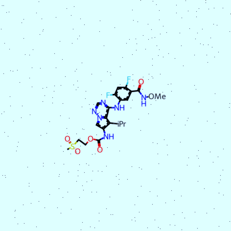 CONC(=O)c1cc(Nc2ncnn3cc(NC(=O)OCCS(C)(=O)=O)c(C(C)C)c23)c(F)cc1F